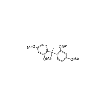 COc1ccc(C(C)(C)c2ccc(OC)cc2OC)c(OC)c1